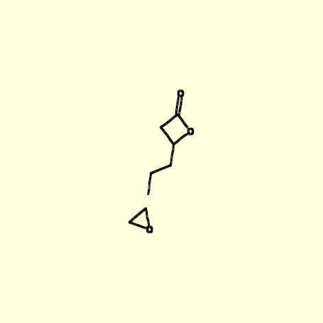 C1CO1.CCCC1CC(=O)O1